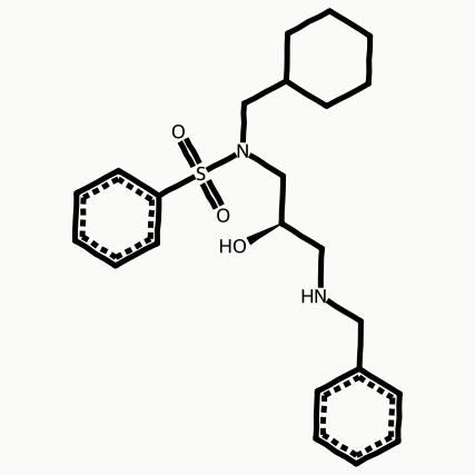 O=S(=O)(c1ccccc1)N(CC1CCCCC1)C[C@H](O)CNCc1ccccc1